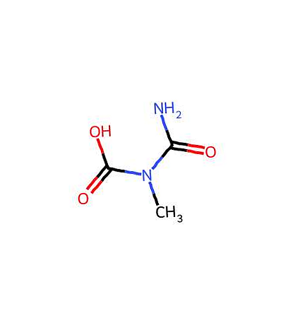 CN(C(N)=O)C(=O)O